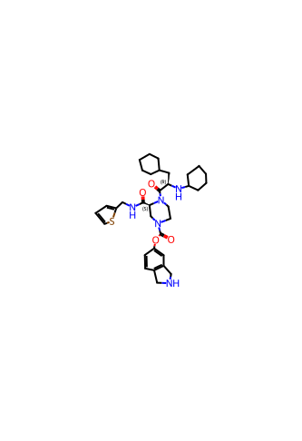 O=C(NCc1cccs1)[C@@H]1CN(C(=O)Oc2ccc3c(c2)CNC3)CCN1C(=O)[C@@H](CC1CCCCC1)NC1CCCCC1